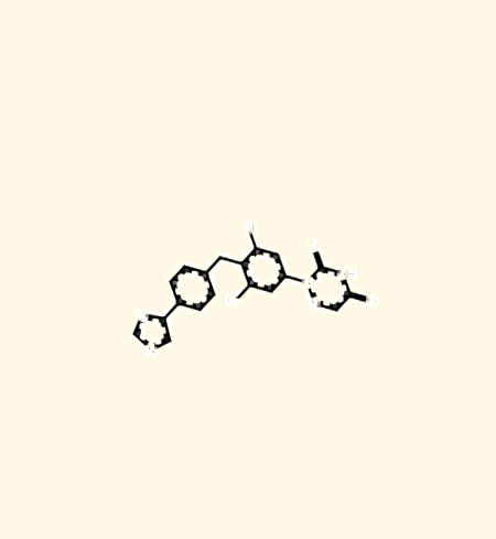 O=c1cnn(-c2cc(Cl)c(Cc3ccc(-c4cnco4)cc3)c(Cl)c2)c(=O)[nH]1